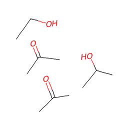 CC(C)=O.CC(C)=O.CC(C)O.CCO